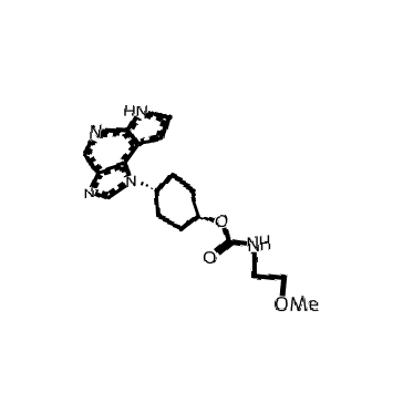 COCCNC(=O)O[C@H]1CC[C@H](n2cnc3cnc4[nH]ccc4c32)CC1